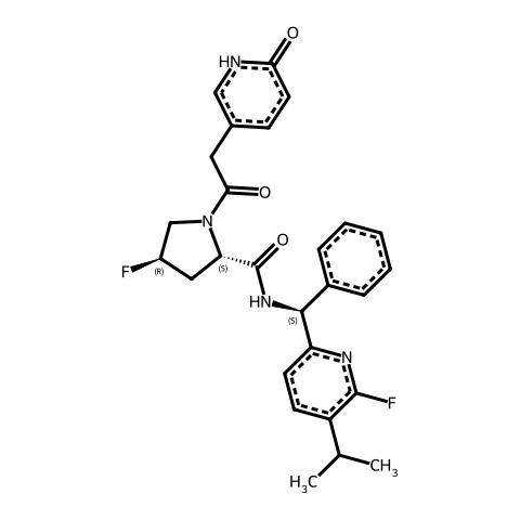 CC(C)c1ccc([C@@H](NC(=O)[C@@H]2C[C@@H](F)CN2C(=O)Cc2ccc(=O)[nH]c2)c2ccccc2)nc1F